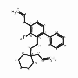 C=CCc1ccc(-c2ccccc2)c(CCC2(CC=C)CCCCC2)c1F